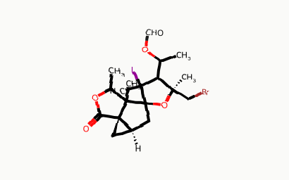 CC(OC=O)C1C(C)(I)C2(C[C@H]3C[C@]34C(=O)OC(C)C24C)O[C@]1(C)CBr